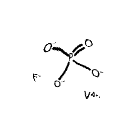 O=P([O-])([O-])[O-].[F-].[V+4]